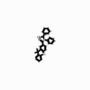 CC1(C)c2ccccc2Sc2ccc(C3=NNC(c4ccccc4)N3c3ccccc3)cc21